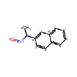 CC(N=O)c1ccc2ccccc2c1